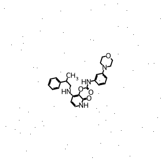 CC(CNc1cc[nH]c(=O)c1OC(=O)Nc1cccc(N2CCOCC2)c1)c1ccccc1